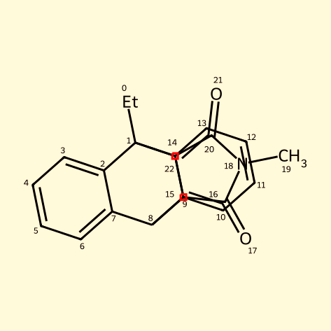 CCC12c3ccccc3C(c3ccccc31)C1C(=O)N(C)C(=O)C12